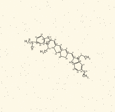 CCN1/C(=C/C2=CC3=C/C(=C/c4sc5ccc([S+](C)[O-])cc5[n+]4CC)CCC3CC2)Sc2ccc(SC)cc21